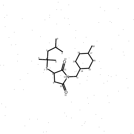 CC(C)CC(C)(C)SC1CC(=O)N(CC2CCC(C)CC2)C1=O